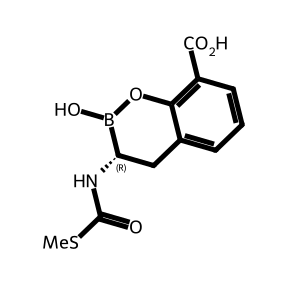 CSC(=O)N[C@H]1Cc2cccc(C(=O)O)c2OB1O